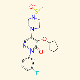 C[S+]([O-])N1CCN(c2cnn(-c3cccc(F)c3)c(=O)c2OC2CCCC2)CC1